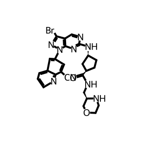 N#Cc1cc(-n2nc(Br)c3cnc(N[C@@H]4CC[C@@H](C(=O)NC[C@@H]5COCCN5)C4)nc32)cc2cccnc12